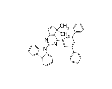 CC1(C)C=Cc2nc(-n3c4ccccc4c4ccccc43)nc(-c3cc(-c4ccccc4)cc(-c4ccccc4)c3)c21